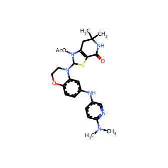 CC(=O)ON1C2=C(SC1N1CCOc3ccc(Nc4ccc(N(C)C)nc4)cc31)C(=O)NC(C)(C)C2